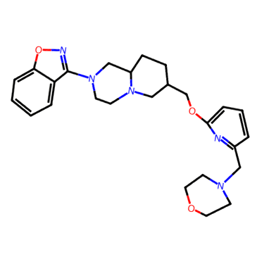 c1cc(CN2CCOCC2)nc(OCC2CCC3CN(c4noc5ccccc45)CCN3C2)c1